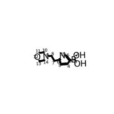 OB(O)c1ccc(CCN2CCOCC2)nc1